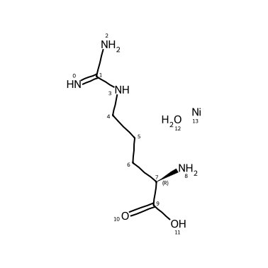 N=C(N)NCCC[C@@H](N)C(=O)O.O.[Ni]